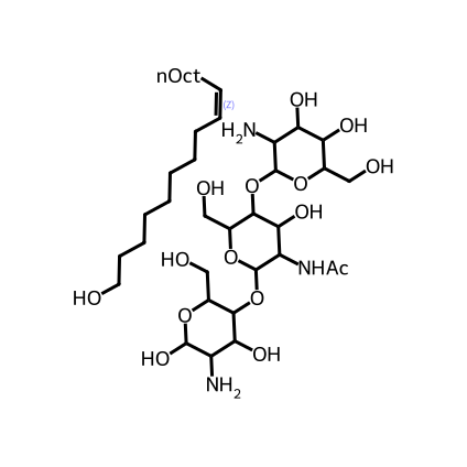 CC(=O)NC1C(OC2C(CO)OC(O)C(N)C2O)OC(CO)C(OC2OC(CO)C(O)C(O)C2N)C1O.CCCCCCCC/C=C\CCCCCCCCO